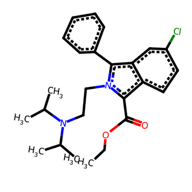 CCOC(=O)c1c2ccc(Cl)cc2c(-c2ccccc2)n1CCN(C(C)C)C(C)C